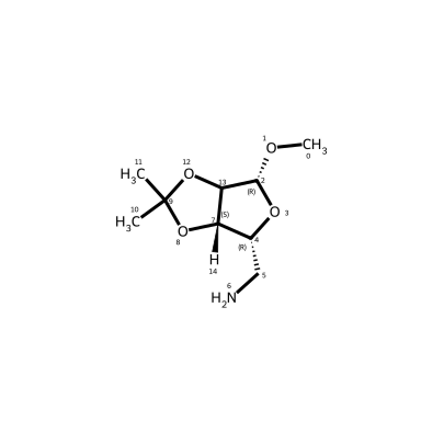 CO[C@@H]1O[C@H](CN)[C@@H]2OC(C)(C)OC12